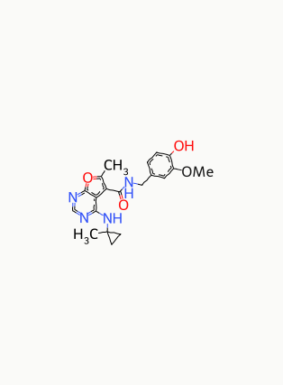 COc1cc(CNC(=O)c2c(C)oc3ncnc(NC4(C)CC4)c23)ccc1O